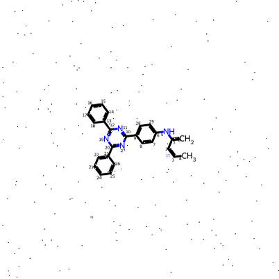 C=C(/C=C\C)Nc1ccc(-c2nc(-c3ccccc3)nc(-c3ccccc3)n2)cc1